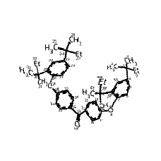 CCC(C)(C)c1ccc(Oc2ccc(C(=O)c3ccc(Oc4ccc(C(C)(C)CC)cc4C(C)(C)CC)cc3)cc2)c(C(C)(C)CC)c1